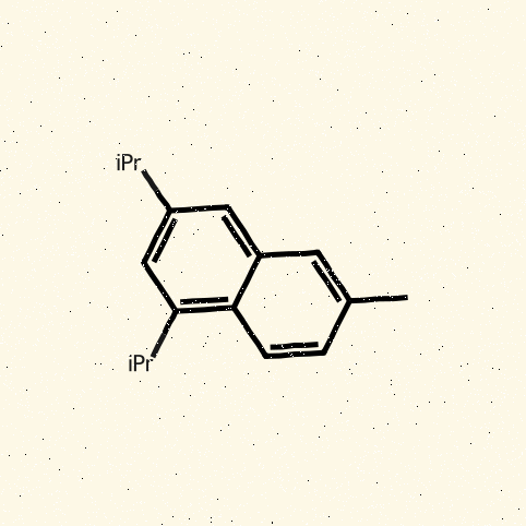 Cc1ccc2c(C(C)C)cc(C(C)C)cc2c1